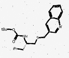 CC(C)C[C@@H](CSCc1cnc2ccccc2c1)NC(=O)OC(C)(C)C